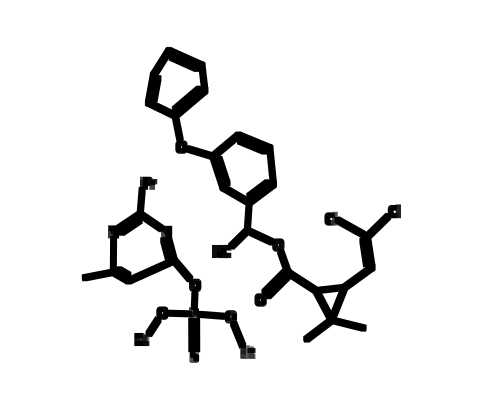 CC1(C)C(C=C(Cl)Cl)C1C(=O)OC(C#N)c1cccc(Oc2ccccc2)c1.CCOP(=S)(OCC)Oc1cc(C)nc(C(C)C)n1